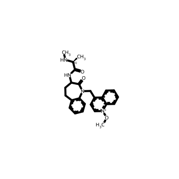 CN[C@@H](C)C(=O)NC1CCc2ccccc2N(Cc2cc[n+](OC)c3ccccc23)C1=O